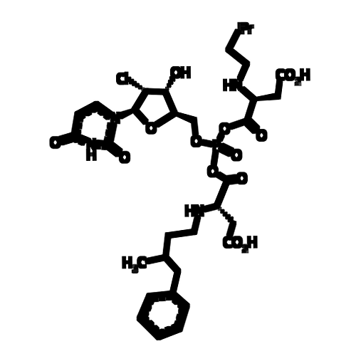 CC(C)CCN[C@@H](CC(=O)O)C(=O)OP(=O)(OC[C@H]1O[C@@H](n2ccc(=O)[nH]c2=O)[C@H](Cl)[C@@H]1O)OC(=O)[C@H](CC(=O)O)NCCC(C)Cc1ccccc1